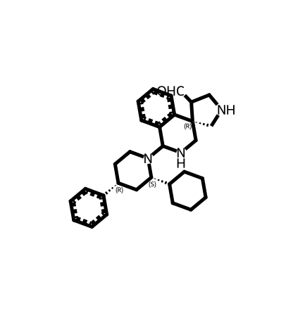 O=CC1CNC[C@@]12CNC(N1CC[C@@H](c3ccccc3)C[C@H]1C1CCCCC1)c1ccccc12